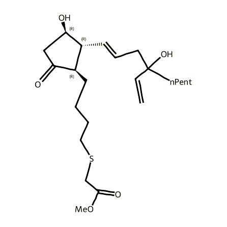 C=CC(O)(CC=C[C@H]1[C@H](O)CC(=O)[C@@H]1CCCCSCC(=O)OC)CCCCC